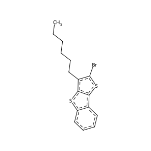 CCCCCCc1c(Br)sc2c1sc1ccccc12